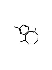 Cc1ccc2c(c1)C(C)SCCCN2